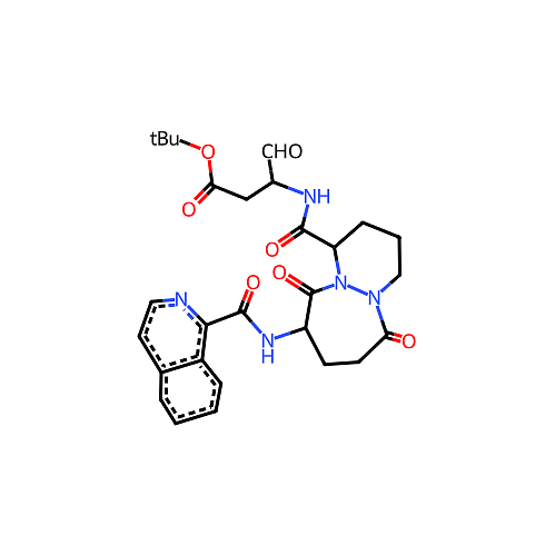 CC(C)(C)OC(=O)CC(C=O)NC(=O)C1CCCN2C(=O)CCC(NC(=O)c3nccc4ccccc34)C(=O)N12